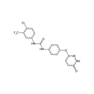 O=C(Nc1ccc(Oc2ccc(=O)[nH]n2)cc1)Nc1ccc(Cl)c(C(F)(F)F)c1